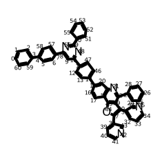 c1ccc(-c2ccc(-c3cc(-c4ccc(-c5ccc6c(c5)nc(-c5ccccc5)c5c(-c7cccnc7)c(-c7cccnc7)oc56)cc4)nc(-c4ccccc4)n3)cc2)cc1